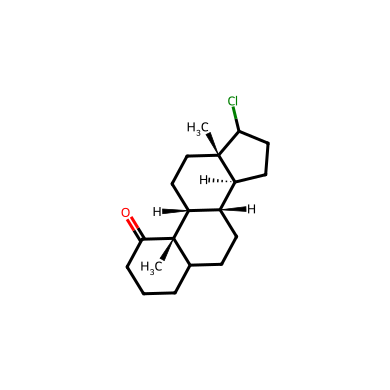 C[C@]12C(=O)CCCC1CC[C@@H]1[C@H]2CC[C@]2(C)C(Cl)CC[C@@H]12